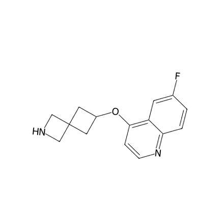 Fc1ccc2nccc(OC3CC4(CNC4)C3)c2c1